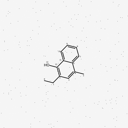 CCc1cc(C)c2ccccc2c1O